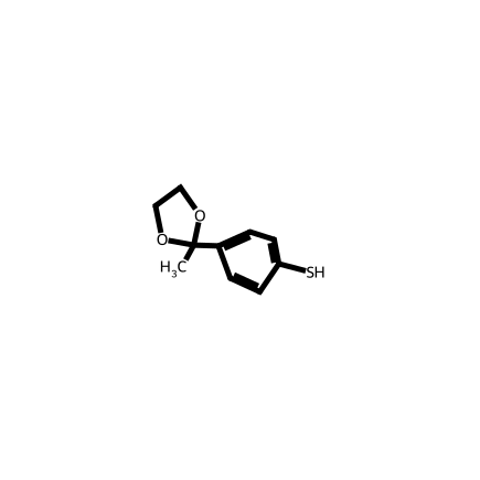 CC1(c2ccc(S)cc2)OCCO1